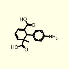 CC1(C(=O)O)C=CC=C(C(=O)O)C1c1ccc(N)cc1